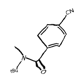 CN(C(=O)c1ccc(C#N)cc1)C(C)(C)C